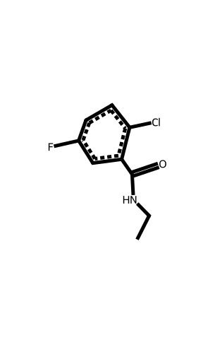 CCNC(=O)c1cc(F)ccc1Cl